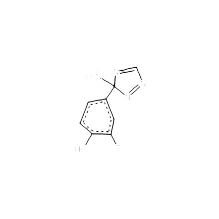 O=Cc1ccc(C2([N+](=O)[O-])N=CN=N2)cc1F